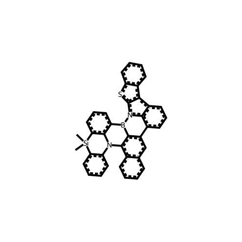 C[Si]1(C)c2ccccc2N2c3c(cccc31)B1c3c(cc4ccccc4c32)-c2cccc3c4c5ccccc5sc4n1c23